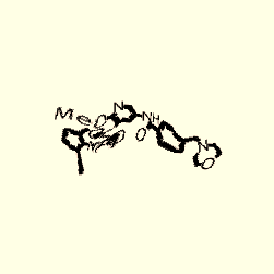 COc1ncc(NC(=O)c2ccc(CN3CCOCC3)cc2)cc1S(=O)(=O)Nc1c(C)cccc1C